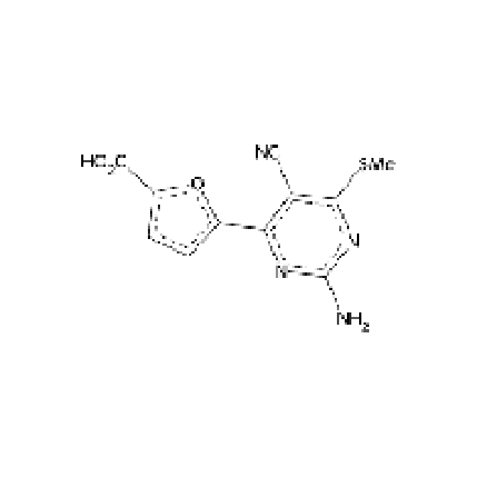 CSc1nc(N)nc(-c2ccc(C(=O)O)o2)c1C#N